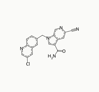 N#Cc1cc2c(C(N)=O)cn(Cc3ccc4ncc(Cl)cc4c3)c2cn1